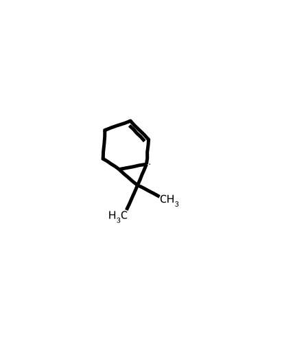 CC1(C)[C]2C=CCCC21